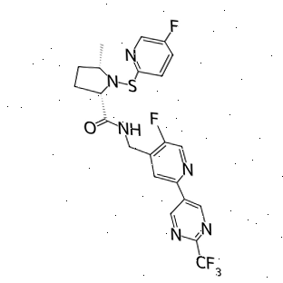 C[C@H]1CC[C@@H](C(=O)NCc2cc(-c3cnc(C(F)(F)F)nc3)ncc2F)N1Sc1ccc(F)cn1